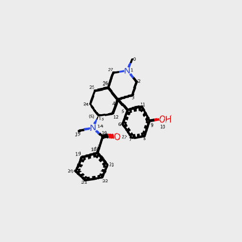 CN1CCC2(c3cccc(O)c3)C[C@@H](N(C)C(=O)c3ccccc3)CCC2C1